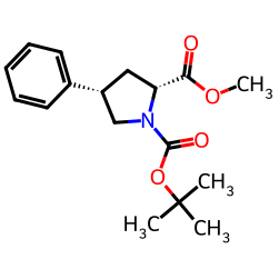 COC(=O)[C@H]1C[C@@H](c2ccccc2)CN1C(=O)OC(C)(C)C